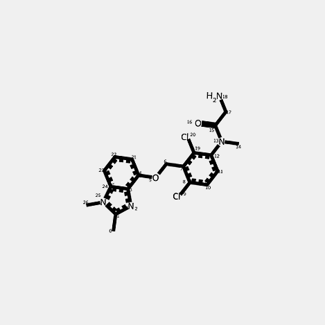 Cc1nc2c(OCc3c(Cl)ccc(N(C)C(=O)CN)c3Cl)cccc2n1C